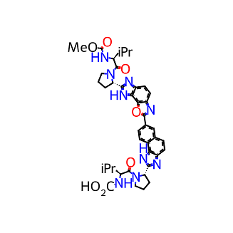 COC(=O)N[C@H](C(=O)N1CCC[C@H]1c1nc2ccc3nc(-c4ccc5c(ccc6nc([C@@H]7CCCN7C(=O)[C@@H](NC(=O)O)C(C)C)[nH]c65)c4)oc3c2[nH]1)C(C)C